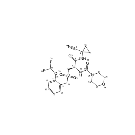 N#CC1(NC(=O)[C@H](CS(=O)(=O)Cc2ccccc2OC(F)F)NC(=O)N2CCOCC2)CC1